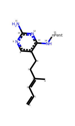 C=C/C=C(\C)CCc1cnc(N)nc1NCCCCC